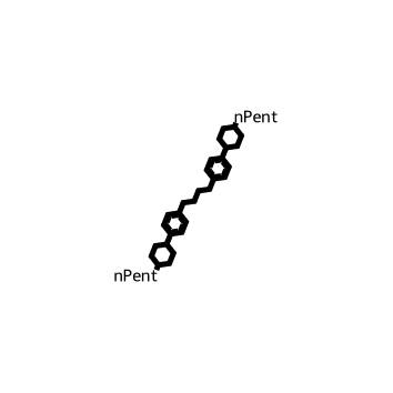 CCCCCC1CCC(c2ccc(CCCCc3ccc(C4CCC(CCCCC)CC4)cc3)cc2)CC1